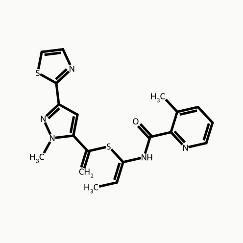 C=C(S/C(=C\C)NC(=O)c1ncccc1C)c1cc(-c2nccs2)nn1C